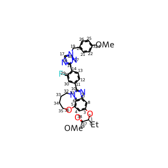 CC[C@H](Oc1cc2c3c(c1)nc(-c1ccc(-c4ncn(Cc5ccc(OC)cc5)n4)c(F)c1)n3CCCCO2)C(=O)OC